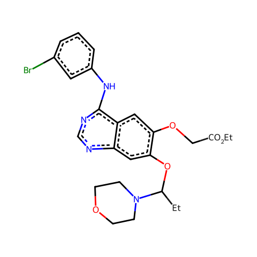 CCOC(=O)COc1cc2c(Nc3cccc(Br)c3)ncnc2cc1OC(CC)N1CCOCC1